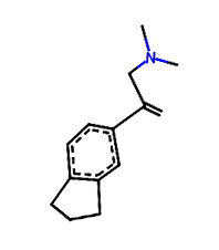 C=C(CN(C)C)c1ccc2c(c1)CCC2